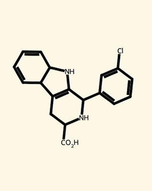 O=C(O)C1CC2=C(NC3C=CC=CC23)C(c2cccc(Cl)c2)N1